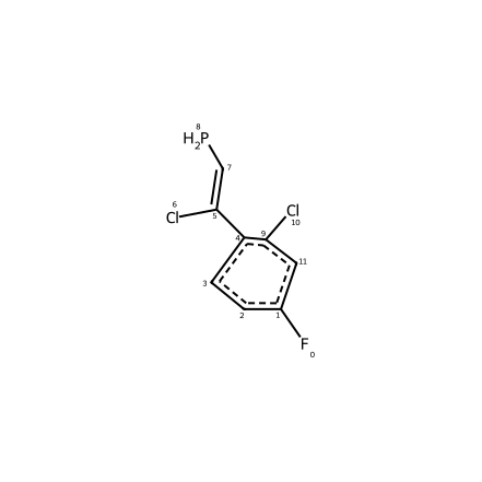 Fc1ccc(C(Cl)=CP)c(Cl)c1